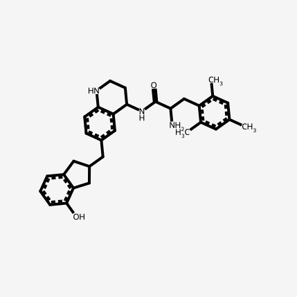 Cc1cc(C)c(CC(N)C(=O)NC2CCNc3ccc(CC4Cc5cccc(O)c5C4)cc32)c(C)c1